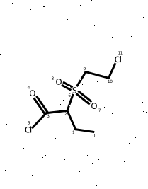 CCC(C(=O)Cl)S(=O)(=O)CCCl